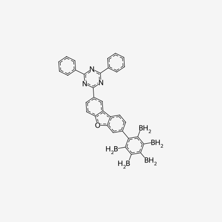 Bc1c(B)c(B)c(-c2ccc3c(c2)oc2ccc(-c4nc(-c5ccccc5)nc(-c5ccccc5)n4)cc23)c(B)c1B